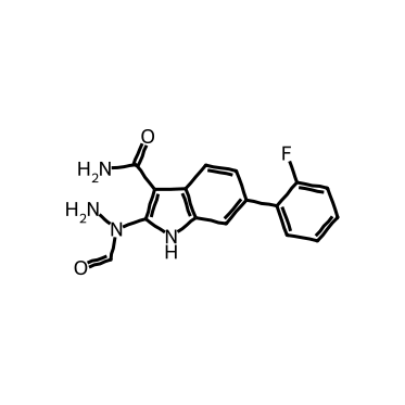 NC(=O)c1c(N(N)C=O)[nH]c2cc(-c3ccccc3F)ccc12